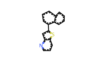 c1ccc2c(-c3cc4ncccc4s3)cccc2c1